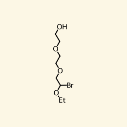 CCOC(Br)COCCOCCO